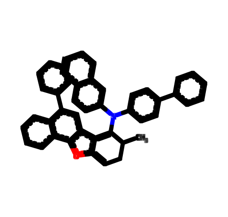 CC1CC=c2oc3c(cc(-c4ccccc4)c4ccccc43)c2=C1N(c1ccc(-c2ccccc2)cc1)c1ccc2c#cccc2c1